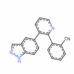 N#Cc1ccccc1-c1ncccc1-c1ccc2[nH]ncc2c1